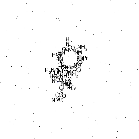 CNC(=O)c1ccccc1Sc1ccc2c(/C=C/c3ccccn3)nn(C(=O)N(C)c3ccccc3COC(=O)CCC(=O)N[C@H](C(=O)N[C@@H](CCN)C(=O)N[C@H]3CCNC(=O)[C@H]([C@@H](C)O)NC(=O)[C@H](CCN)NC(=O)[C@H](CCN)NC(=O)[C@H](CC(C)C)NC(=O)[C@@H](Cc4ccccc4)NC(=O)[C@H](CCN)NC3=O)[C@@H](C)O)c2c1